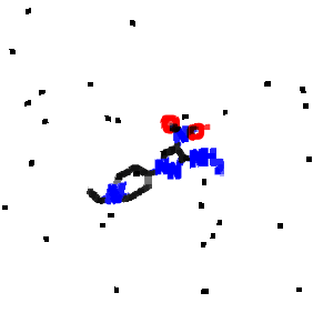 CCN1CCC(n2cc([N+](=O)[O-])c(N)n2)CC1